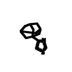 c1nc(C23CC4CC(CC(C4)C2)C3)cs1